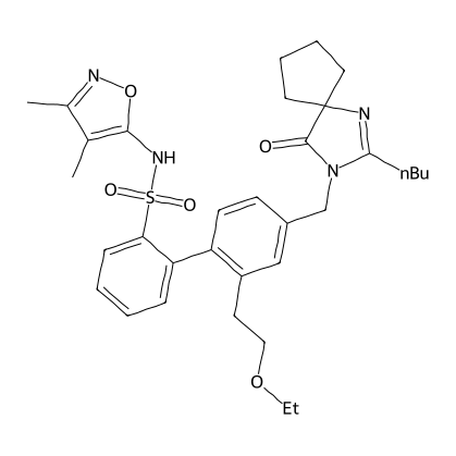 CCCCC1=NC2(CCCC2)C(=O)N1Cc1ccc(-c2ccccc2S(=O)(=O)Nc2onc(C)c2C)c(CCOCC)c1